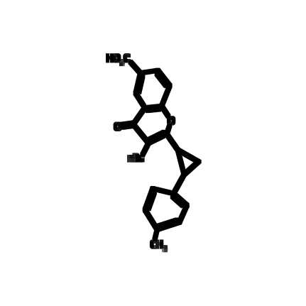 CCCCc1c(C2CC2c2ccc(C)cc2)oc2ccc(C(=O)O)cc2c1=O